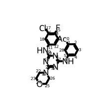 CC(=O)c1cccc(Nc2nc(Nc3ccc(F)c(Cl)c3)nc(N3CCOCC3)n2)c1